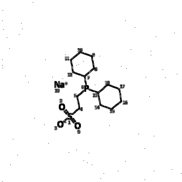 O=S(=O)([O-])CCP(C1CCCCC1)C1CCCCC1.[Na+]